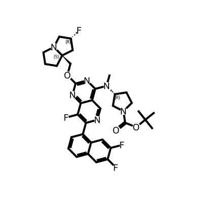 CN(c1nc(OC[C@@]23CCCN2C[C@H](F)C3)nc2c(F)c(-c3cccc4cc(F)c(F)cc34)ncc12)[C@@H]1CCN(C(=O)OC(C)(C)C)C1